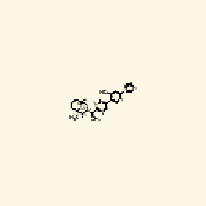 C=C(c1ncc(-c2cnc(-n3ccnc3)cc2O)nn1)[C@@H]1C[C@@]2(C)CCC[C@](C)(N2)[C@H]1F